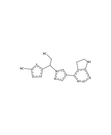 N#CCC(c1ccc(C#N)s1)n1cc(-c2ncnc3c2CCN3)cn1